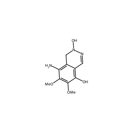 COc1c(N)c2c(c(O)c1OC)C=NN(O)C2